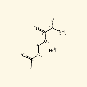 CC(=O)OCOC(=O)[C@H](C)N.Cl